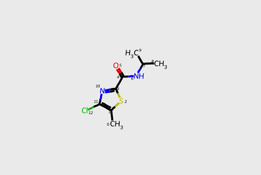 Cc1sc(C(=O)NC(C)C)nc1Cl